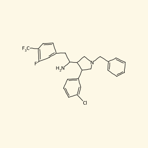 NC(Cc1ccc(C(F)(F)F)c(F)c1)C1CN(Cc2ccccc2)CC1c1cccc(Cl)c1